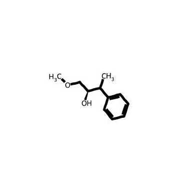 COC[C@H](O)C(C)c1ccccc1